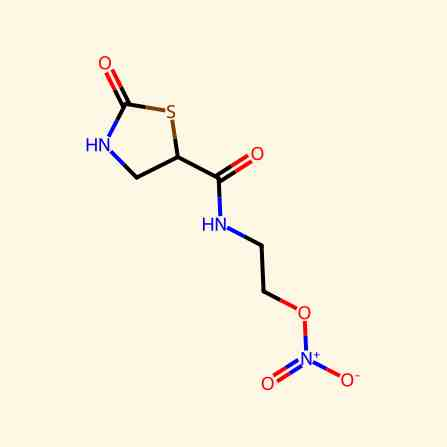 O=C1NCC(C(=O)NCCO[N+](=O)[O-])S1